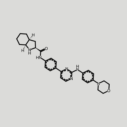 O=C(Nc1ccc(-c2ccnc(Nc3ccc(N4CCOCC4)cc3)n2)cc1)[C@@H]1C[C@@H]2CCCC[C@@H]2N1